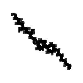 CCCCCCCCc1ccc(-c2ncc(OCCC(F)CCC(F)CCCCC)cn2)cc1